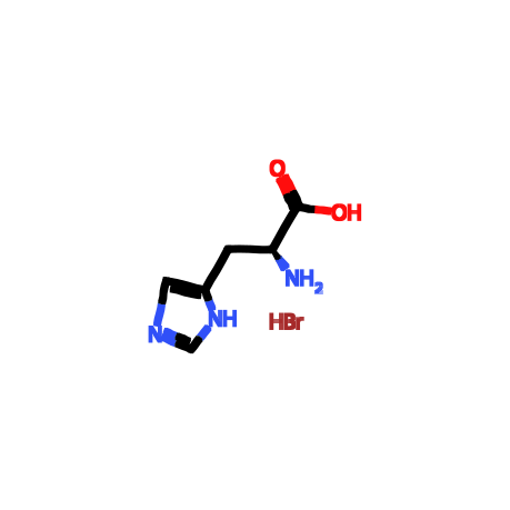 Br.N[C@@H](Cc1cnc[nH]1)C(=O)O